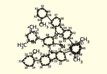 Cc1cc(C)nc(-c2cc(-n3c4cc(-c5ccccc5C)ccc4c4ccc(-c5ccccc5C)cc43)c(C#N)c(-n3c4cc(-c5ccccc5C)ccc4c4ccc(-c5ccccc5C)cc43)c2)n1